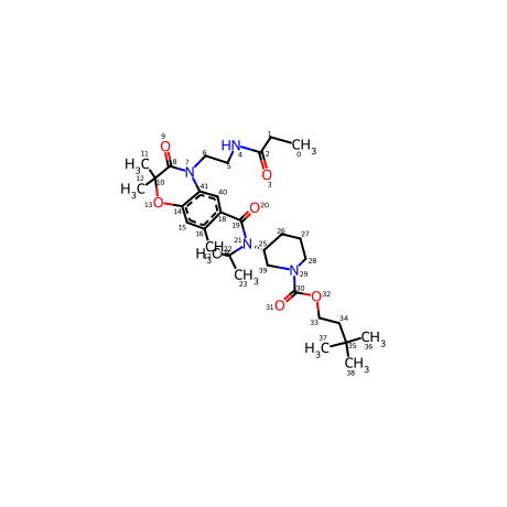 CCC(=O)NCCN1C(=O)C(C)(C)Oc2cc(C)c(C(=O)N(C(C)C)[C@@H]3CCCN(C(=O)OCCC(C)(C)C)C3)cc21